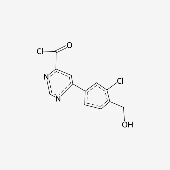 O=C(Cl)c1cc(-c2ccc(CO)c(Cl)c2)ncn1